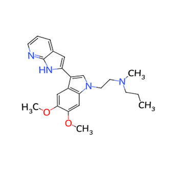 CCCN(C)CCn1cc(-c2cc3cccnc3[nH]2)c2cc(OC)c(OC)cc21